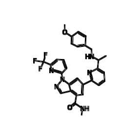 CNC(=O)c1cc(-c2cccc(C(C)NCc3ccc(OC)cc3)n2)cc2c1cnn2-c1cccc(C(F)(F)F)n1